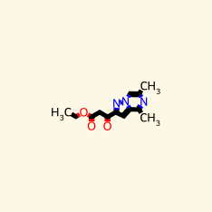 CCOC(=O)CC(=O)c1cc2c(C)nc(C)cn2n1